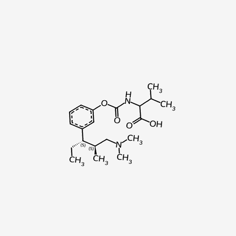 CC[C@H](c1cccc(OC(=O)NC(C(=O)O)C(C)C)c1)[C@H](C)CN(C)C